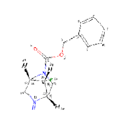 O=C(OCc1ccccc1)N1C[C@@H]2NC[C@H]1[C@@H]2F